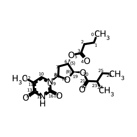 CCCC(=O)O[C@H]1C[C@H](n2cc(C)c(=O)[nH]c2=O)O[C@@H]1OC(=O)C(C)CC